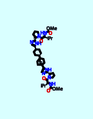 COC(=O)N[C@H](C(=O)N1CCC[C@H]1c1ncc(C23CCC([C@H]4CC[C@H](c5cnc([C@@H]6CCCN6C(=O)[C@@H](NC(=O)OC)C(C)C)[nH]5)CC4)(CC2)CC3)[nH]1)C(C)C